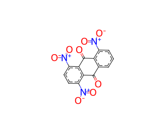 O=C1c2cccc([N+](=O)[O-])c2C(=O)c2c([N+](=O)[O-])ccc([N+](=O)[O-])c21